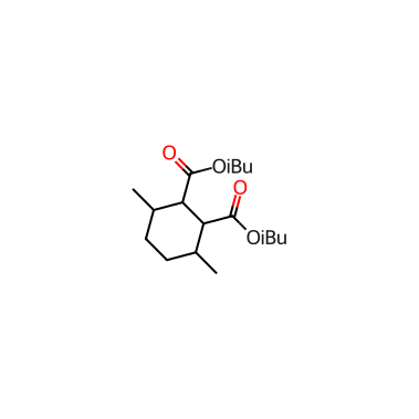 CC(C)COC(=O)C1C(C)CCC(C)C1C(=O)OCC(C)C